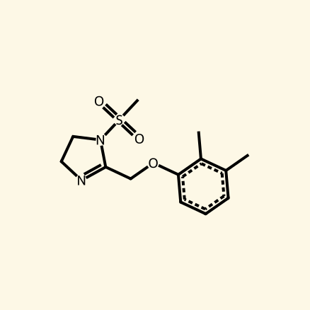 Cc1cccc(OCC2=NCCN2S(C)(=O)=O)c1C